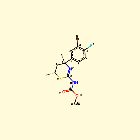 C[C@@H]1C[C@@](C)(c2ccc(F)c(Br)c2)N=C(NC(=O)OC(C)(C)C)S1